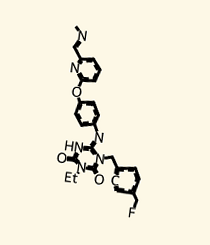 CCn1c(=O)[nH]/c(=N\c2ccc(Oc3cccc(/C=N/C)n3)cc2)n(Cc2ccc(CF)cc2)c1=O